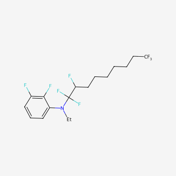 CCN(c1cccc(F)c1F)C(F)(F)C(F)CCCCCCC(F)(F)F